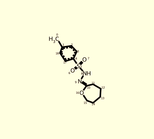 Cc1ccc(S(=O)(=O)NN=C2CCCCCO2)cc1